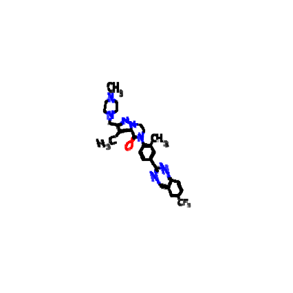 Cc1cc(-c2ncc3cc(C(F)(F)F)ccc3n2)ccc1N1CCn2nc(CN3CCN(C)CC3)c(C)c2C1=O